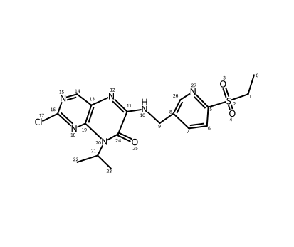 CCS(=O)(=O)c1ccc(CNc2nc3cnc(Cl)nc3n(C(C)C)c2=O)cn1